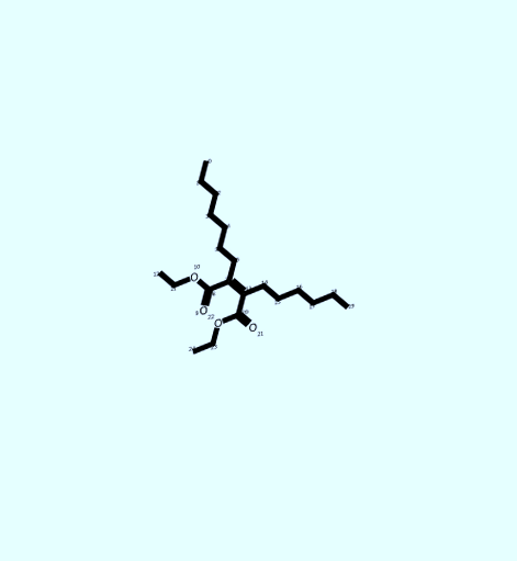 CCCCCCC/C(C(=O)OCC)=C(\CCCCCC)C(=O)OCC